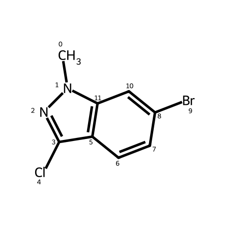 Cn1nc(Cl)c2ccc(Br)cc21